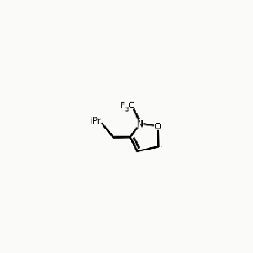 CC(C)CC1=C[CH]ON1C(F)(F)F